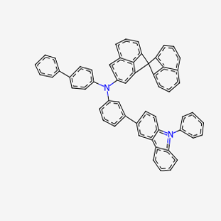 c1ccc(-c2ccc(N(c3cccc(-c4ccc5c(c4)c4ccccc4n5-c4ccccc4)c3)c3cc4c5c(cccc5c3)C43c4cccc5cccc3c45)cc2)cc1